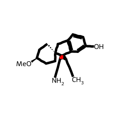 CO[C@H]1CC[C@]2(CC1)Cc1ccc(O)cc1[C@@]21N=C(C)C(N)=N1